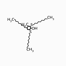 CCCCCCCCCCSc1cc(CCCCCCCCC)c(C)c(SCCCCCCCCCC)c1O